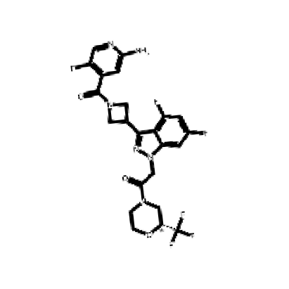 Nc1cc(C(=O)N2CC(c3nn(CC(=O)N4CCO[C@@H](C(F)(F)F)C4)c4cc(F)cc(F)c34)C2)c(F)cn1